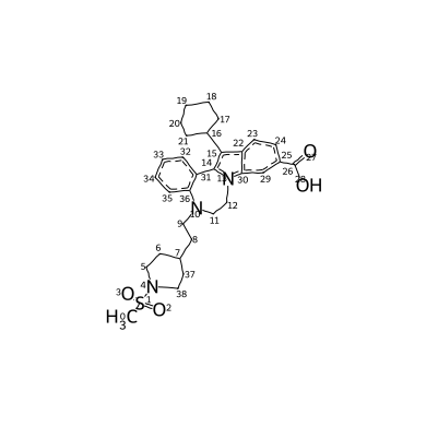 CS(=O)(=O)N1CCC(CCN2CCn3c(c(C4CCCCC4)c4ccc(C(=O)O)cc43)-c3ccccc32)CC1